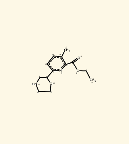 CCOC(=O)c1nc(C2CNCCO2)ccc1C